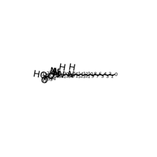 CCCCCCCCCCCCCCCCCCNCCCNCn1nnc2cc(C(=O)O)ccc21